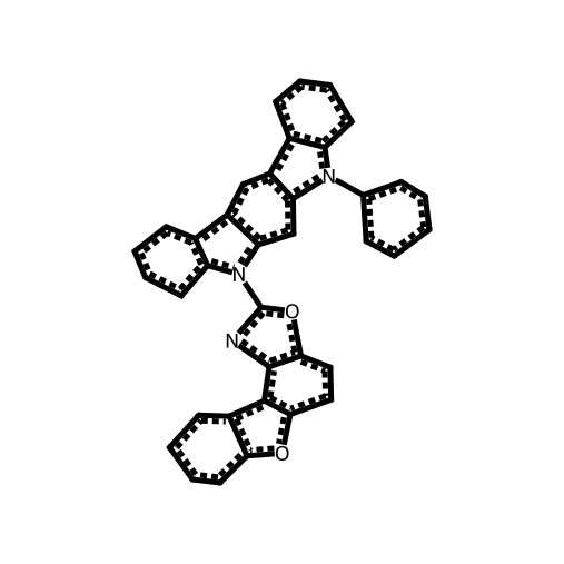 c1ccc(-n2c3ccccc3c3cc4c5ccccc5n(-c5nc6c(ccc7oc8ccccc8c76)o5)c4cc32)cc1